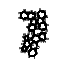 c1ccc2c(c1)Oc1c(cc(-c3ccc4c(c3)C3(c5ccccc5-c5ccccc53)c3ccc5ccccc5c3-4)c3ccccc13)C21c2ccccc2-c2ccccc21